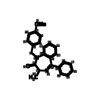 COc1ccc(CN2C(=O)C(C)N=C(c3ccccc3)c3ccccc32)cc1